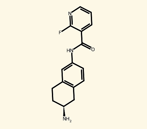 N[C@H]1CCc2cc(NC(=O)c3cccnc3F)ccc2C1